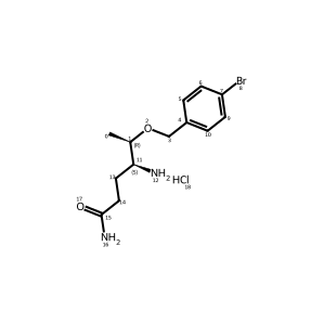 C[C@@H](OCc1ccc(Br)cc1)[C@@H](N)CCC(N)=O.Cl